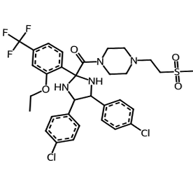 CCOc1cc(C(F)(F)F)ccc1C1(C(=O)N2CCN(CCS(C)(=O)=O)CC2)NC(c2ccc(Cl)cc2)C(c2ccc(Cl)cc2)N1